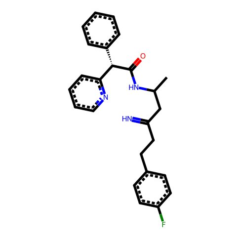 CC(CC(=N)CCc1ccc(F)cc1)NC(=O)[C@@H](c1ccccc1)c1ccccn1